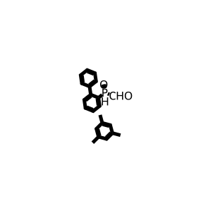 Cc1cc(C)cc(C)c1.O=C[PH](=O)c1ccccc1-c1ccccc1